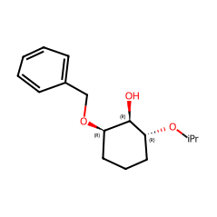 CC(C)O[C@@H]1CCC[C@@H](OCc2ccccc2)[C@H]1O